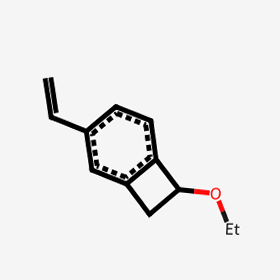 C=Cc1ccc2c(c1)CC2OCC